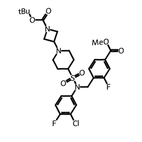 COC(=O)c1ccc(CN(c2ccc(F)c(Cl)c2)S(=O)(=O)C2CCN(C3CN(C(=O)OC(C)(C)C)C3)CC2)c(F)c1